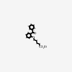 CCOC(=O)CCCCOc1ccccc1C(=O)c1ccccc1